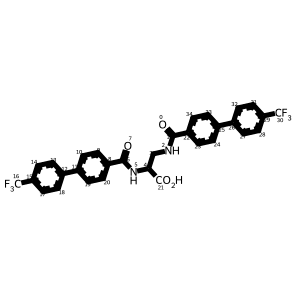 O=C(NCC(NC(=O)c1ccc(-c2ccc(C(F)(F)F)cc2)cc1)C(=O)O)c1ccc(-c2ccc(C(F)(F)F)cc2)cc1